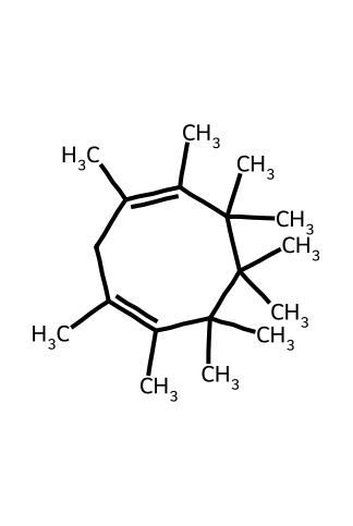 C/C1=C(\C)C(C)(C)C(C)(C)C(C)(C)/C(C)=C(/C)C1